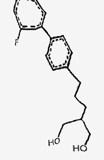 OCC(CO)CCCc1ccc(-c2ccccc2F)cc1